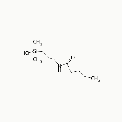 CCCCC(=O)NCCC[Si](C)(C)O